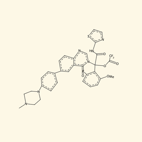 COc1cccc(F)c1C(OC(=O)C(F)(F)F)(C(=O)Nc1nccs1)n1cnc2ccc(-c3ccc(N4CCN(C)CC4)cc3)cc2c1=O